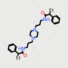 CCC(C(=O)NCCCN1CCN(CCCNC(=O)C(CC)c2ccccc2)CC1)c1ccccc1